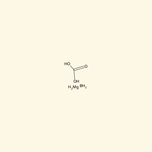 B.O=C(O)O.[MgH2]